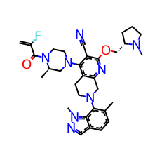 C=C(F)C(=O)N1CCN(c2c(C#N)c(OC[C@@H]3CCCN3C)nc3c2CCN(c2c(C)ccc4cnn(C)c24)C3)C[C@H]1C